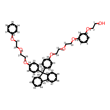 OCCOc1cccc(OCCOCCOc2ccc(C3(c4ccc(OCCOCCOc5ccccc5)cc4)c4ccccc4-c4ccccc43)cc2)c1